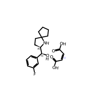 O=C(O)/C=C\C(=O)O.O[C@@H](c1cccc(F)c1)[C@H]1CCC2(CCCC2)N1